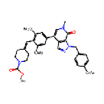 COc1ccc(Cn2ncc3c(-c4cc(OC)c(C=C5CCN(C(=O)OC(C)(C)C)CC5)c(OC)c4)cn(C)c(=O)c32)cc1